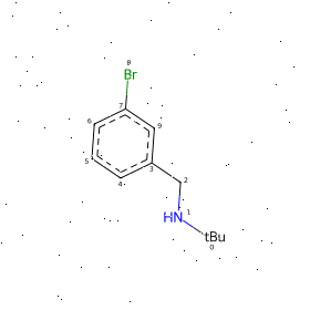 CC(C)(C)NCc1cccc(Br)c1